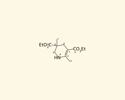 CCOC(=O)C1=C(C)NCC(C)(C(=O)OCC)C1